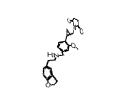 COc1cc(CNCCc2ccc3c(c2)CCO3)ccc1C1CC1CN1C(=O)CCC1=O